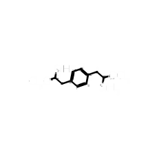 [SiH3]C(Cc1ccc(CC([SiH3])C(Cl)(Cl)Cl)cc1)C(Cl)(Cl)Cl